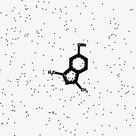 COc1ccc2c(C)nn(C)c2c1